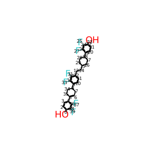 Oc1ccc(C2=CCC(c3ccc(CCC4CCC(c5ccc(O)c(F)c5F)CC4)c(F)c3F)CC2)c(F)c1F